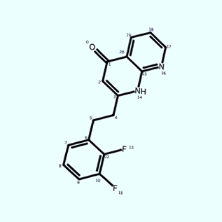 O=c1cc(CCc2cccc(F)c2F)[nH]c2ncccc12